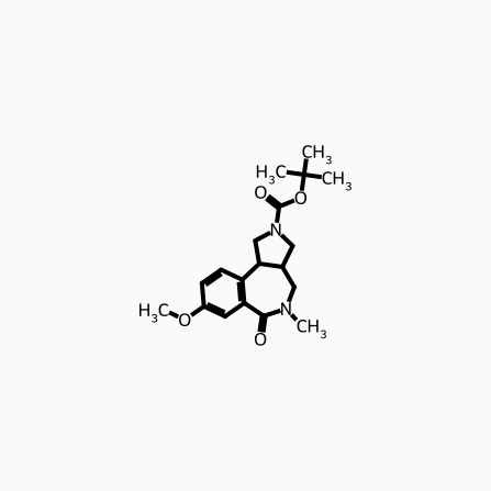 COc1ccc2c(c1)C(=O)N(C)CC1CN(C(=O)OC(C)(C)C)CC21